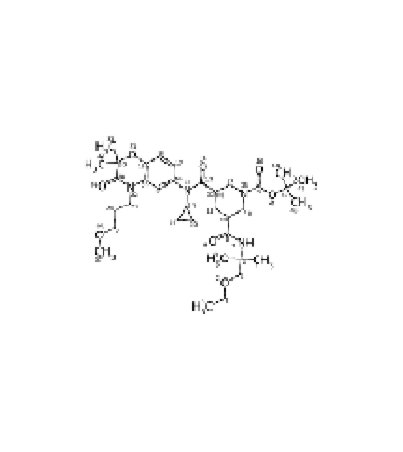 CCOCC(C)(C)NC(=O)C1C[C@@H](C(=O)N(c2ccc3c(c2)N(CCCOC)C(=O)C(C)(C)O3)C2CC2)CN(C(=O)OC(C)(C)C)C1